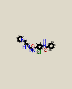 O=C(Nc1ccc(-c2nnc(NCCCN3CCCCC3)o2)c(Cl)c1)C1CCCCC1